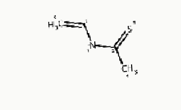 C=C[N]C(C)=S